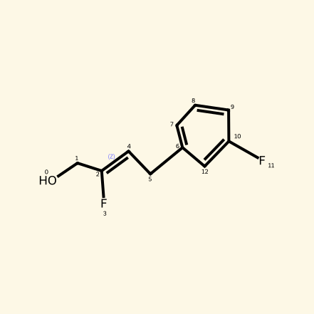 OC/C(F)=C/Cc1cccc(F)c1